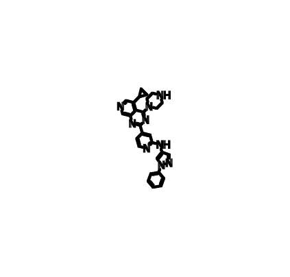 c1ccc(-n2cc(Nc3cc(-c4nc(N5CCNCC5)c5c(C6CC6)cncc5n4)ccn3)cn2)cc1